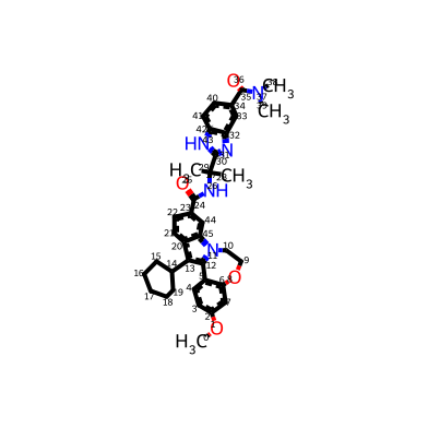 COc1ccc2c(c1)OCCn1c-2c(C2CCCCC2)c2ccc(C(=O)NC(C)(C)c3nc4cc(C(=O)N(C)C)ccc4[nH]3)cc21